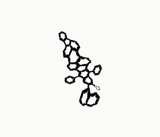 Clc1cc2c(-c3ccccc3)c3c(c(-c4ccccc4)c2cc1-c1cccc2ccccc12)-c1ccc2c4ccc5c6c(ccc(c7ccc-3c1c72)c64)-c1ccccc1-5